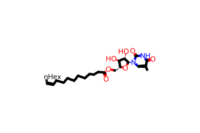 CCCCCC/C=C\CCCCCCCCCC(=O)OC[C@H]1O[C@@H](n2cc(C)c(=O)[nH]c2=O)[C@@H](O)[C@@H]1O